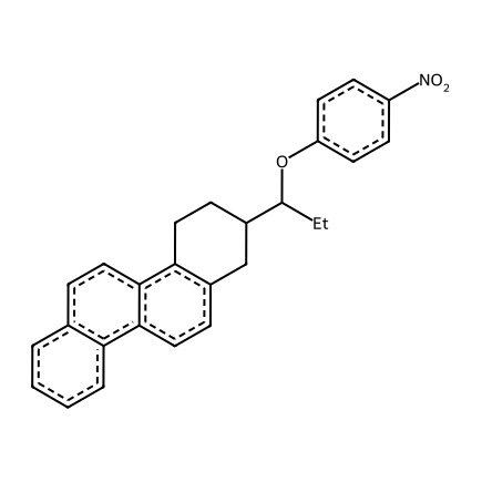 [CH2]CC(Oc1ccc([N+](=O)[O-])cc1)C1CCc2c(ccc3c2ccc2ccccc23)C1